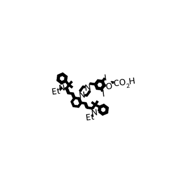 CCN1/C(=C/C=C2\CCCC(/C=C/C3=[N+](CC)c4ccccc4C3(C)C)=C2N2CCN(Cc3cc(I)c(OCC(=O)O)c(I)c3)CC2)C(C)(C)c2ccccc21